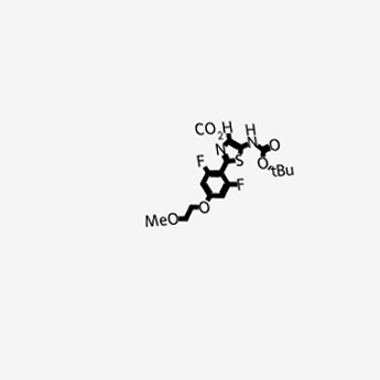 COCCOc1cc(F)c(-c2nc(C(=O)O)c(NC(=O)OC(C)(C)C)s2)c(F)c1